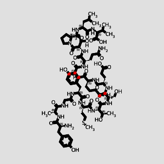 CSCC[C@H](NC(=O)[C@H](Cc1ccccc1)NC(=O)CNC(=O)[C@@H](C)NC(=O)[C@@H](N)Cc1ccc(O)cc1)C(=O)N[C@H](C(=O)N[C@@H](CO)C(=O)N[C@@H](CCC(=O)O)C(=O)N[C@@H](CCCCN)C(=O)N[C@@H](CO)C(=O)N[C@@H](CCC(N)=O)C(=O)N[C@H](C(=O)N1CCC[C@H]1C(=O)N[C@@H](CC(C)C)C(=O)N[C@H](C(=O)O)C(C)C)[C@@H](C)O)[C@@H](C)O